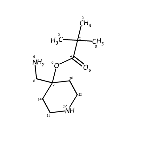 CC(C)(C)C(=O)OC1(CN)CCNCC1